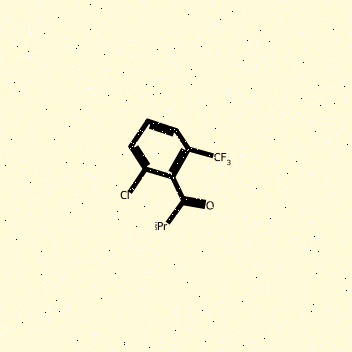 CC(C)C(=O)c1c(Cl)cccc1C(F)(F)F